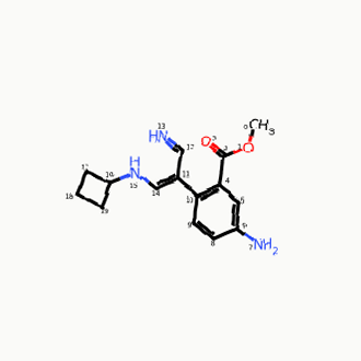 COC(=O)c1cc(N)ccc1/C(C=N)=C/NC1CCC1